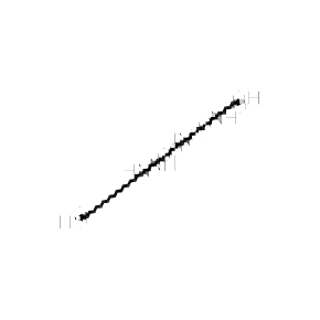 O=C(O)CCCCCCCCCCCCCCCCCNCCNCCOCCOCCNCCOCCOCCNCCCCCC(=O)O